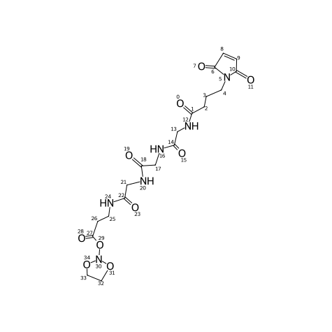 O=C(CCCN1C(=O)C=CC1=O)NCC(=O)NCC(=O)NCC(=O)NCCC(=O)ON1OCCO1